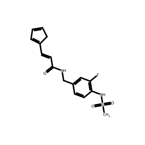 CS(=O)(=O)Nc1ccc(CNC(=O)/C=C/C2=CC=CC2)cc1F